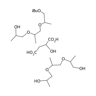 CC(C)COCC(C)OCC(C)OCC(C)O.CC(O)COC(C)COC(C)CO.O=C(O)CC(O)C(=O)O